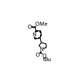 COC(=O)c1ccc(C2CCN(C(=O)OC(C)(C)C)C2)cn1